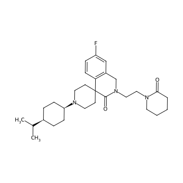 CC(C)[C@H]1CC[C@@H](N2CCC3(CC2)C(=O)N(CCN2CCCCC2=O)Cc2cc(F)ccc23)CC1